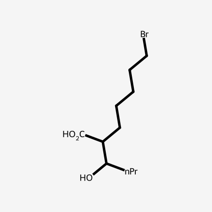 CCCC(O)C(CCCCCBr)C(=O)O